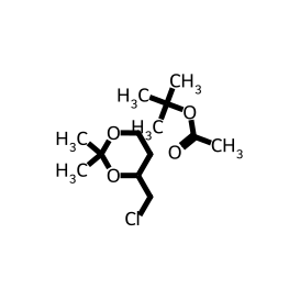 CC(=O)OC(C)(C)C.CC1(C)OCCC(CCl)O1